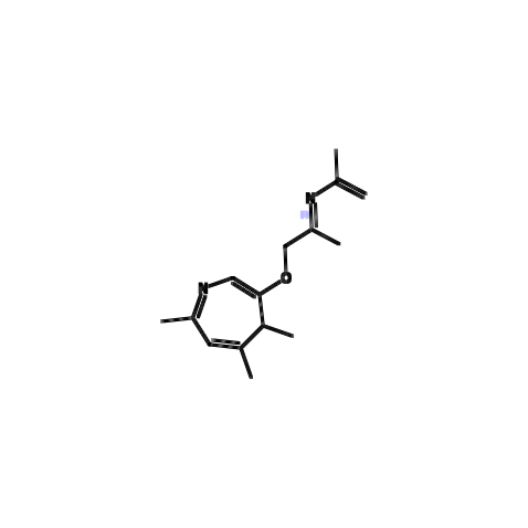 C=C(C)/N=C(\C)COC1=CN=C(C)C=C(C)C1C